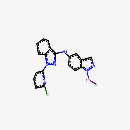 Clc1cccc(-n2nc(Nc3ccc4c(cnn4PI)c3)c3ccccc32)n1